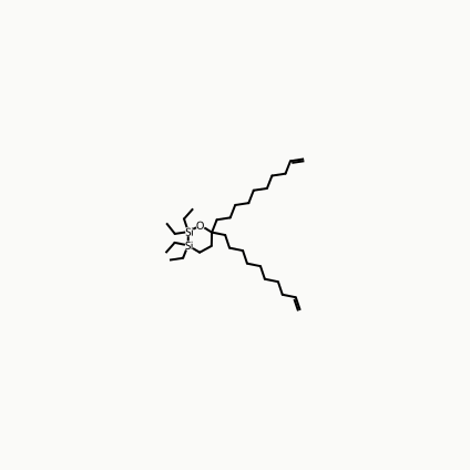 C=CCCCCCCCCC1(CCCCCCCCC=C)CC[Si](CC)(CC)[Si](CC)(CC)O1